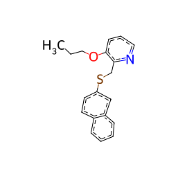 CCCOc1cccnc1CSc1ccc2ccccc2c1